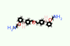 NCCOc1ccccc1Bc1ccc(CCOCc2ccc(Bc3ccccc3OCCN)cc2)cc1